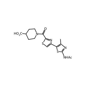 CC(=O)Nc1nc(C)c(-c2csc(C(=O)N3CCC(C(=O)O)CC3)n2)s1